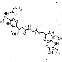 NCC(=O)N[C@@H](CO)C(=O)N[C@@H](CO)C(=O)NCC(=O)NCC(=O)NCC(=O)N[C@@H](CO)C(=O)N[C@@H](CO)C(=O)O